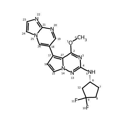 COc1nc(N[C@@H]2CCC(F)(F)C2)nn2ccc(-c3cnc4nccn4c3)c12